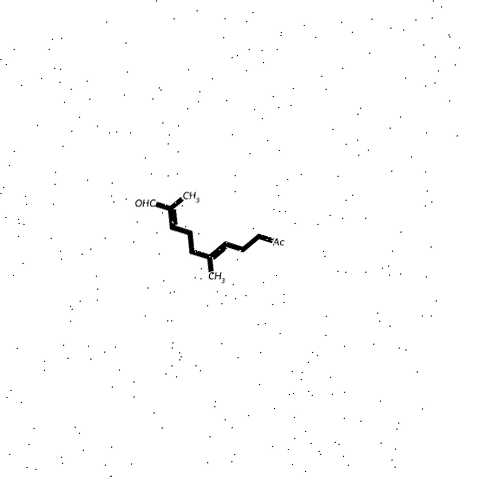 CC(=O)CCC=C(C)CC/C=C(\C)C=O